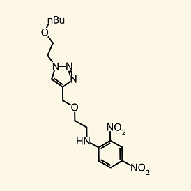 CCCCOCCn1cc(COCCNc2ccc([N+](=O)[O-])cc2[N+](=O)[O-])nn1